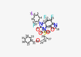 O=c1n(-c2ccc(I)cc2F)c2c(F)c(F)c3ncoc3c2n1S(=O)(=O)C1CC1COCc1ccccc1